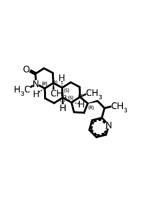 CC(C[C@H]1CC[C@H]2[C@@H]3CC[C@H]4N(C)C(=O)CC[C@]4(C)[C@H]3CC[C@]12C)c1ccccn1